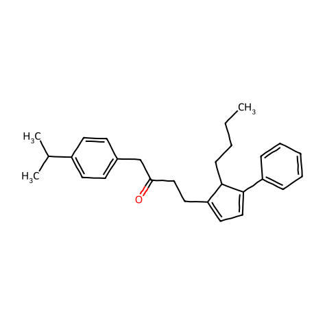 CCCCC1C(CCC(=O)Cc2ccc(C(C)C)cc2)=CC=C1c1ccccc1